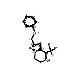 FC(F)(F)C1NCCn2nc(COc3ccccc3)cc21